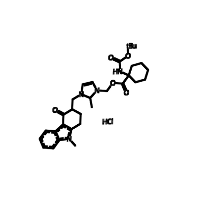 CC1N(COC(=O)C2(NC(=O)OC(C)(C)C)CCCCC2)C=CN1CC1CCc2c(c3ccccc3n2C)C1=O.Cl